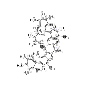 BC(=C)/C(B)=C(/B)c1c(B)c(C/C(B)=C(/B)c2oc3c(B)c(B)c(-c4c(B)c(B)c(B)c(B)c4B)c(B)c3c2C#C)c2c(B)c(B)c(B)c(B)c2c1-c1c(B)c(B)c(B)c(B)c1B